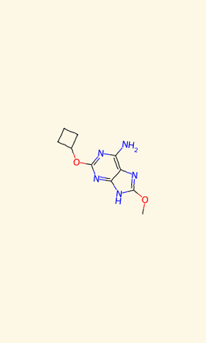 COc1nc2c(N)nc(OC3CCC3)nc2[nH]1